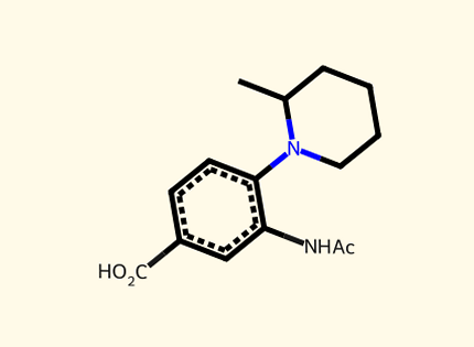 CC(=O)Nc1cc(C(=O)O)ccc1N1CCCCC1C